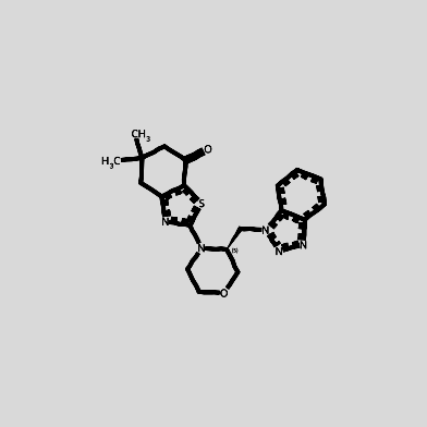 CC1(C)CC(=O)c2sc(N3CCOC[C@@H]3Cn3nnc4ccccc43)nc2C1